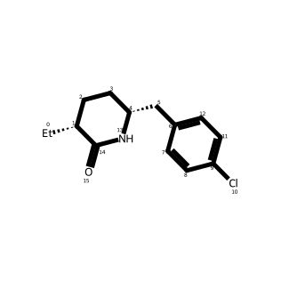 CC[C@@H]1CC[C@H](Cc2ccc(Cl)cc2)NC1=O